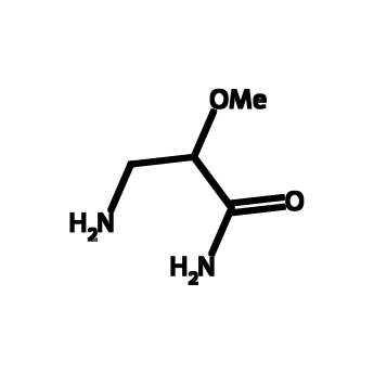 COC(CN)C(N)=O